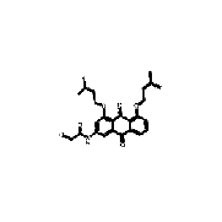 CC(C)CCOc1cccc2c1C(=O)c1c(OCCC(C)C)cc(NC(=O)CCl)cc1C2=O